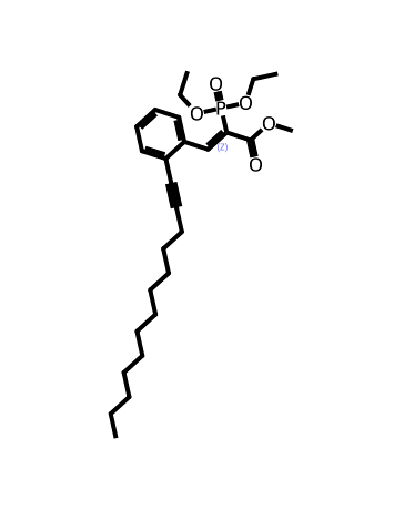 CCCCCCCCCCCC#Cc1ccccc1/C=C(/C(=O)OC)P(=O)(OCC)OCC